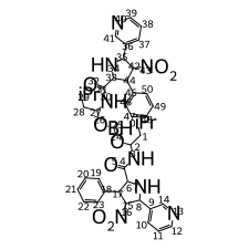 CC(C)CC(NC(=O)C1NC(c2cccnc2)C([N+](=O)[O-])C1c1ccccc1)OBOC(CC(C)C)NC(=O)C1NC(c2cccnc2)C([N+](=O)[O-])C1c1ccccc1